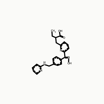 CCC(Cc1cccc(C(=NO)c2ccc(CNc3ccccn3)cc2)n1)C(=O)O